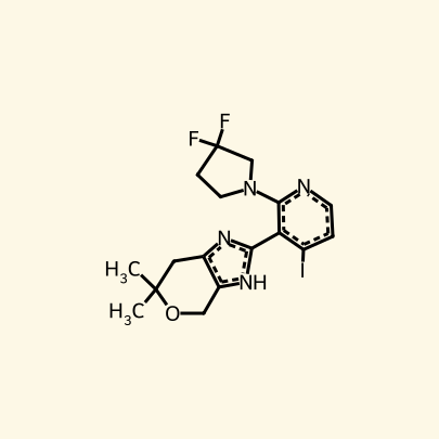 CC1(C)Cc2nc(-c3c(I)ccnc3N3CCC(F)(F)C3)[nH]c2CO1